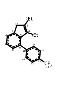 CCC1=C(CC)c2c(cccc2-c2ccc(C(F)(F)F)cc2)[CH]1